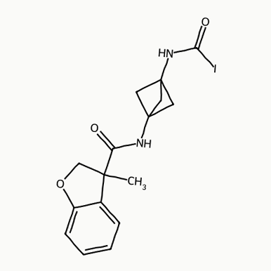 CC1(C(=O)NC23CC(NC(=O)I)(C2)C3)COc2ccccc21